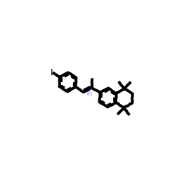 C/C(=C\c1ccc(I)cc1)c1ccc2c(c1)C(C)(C)CCC2(C)C